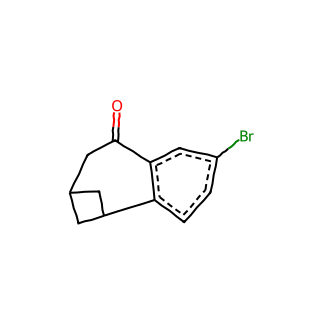 O=C1CC2CC(C2)c2ccc(Br)cc21